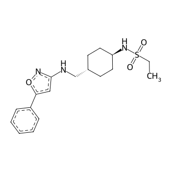 CCS(=O)(=O)N[C@H]1CC[C@H](CNc2cc(-c3ccccc3)on2)CC1